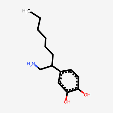 CCCCCCC(CN)c1ccc(O)c(O)c1